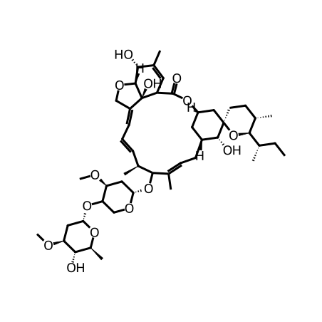 CC[C@H](C)[C@H]1O[C@]2(CC[C@@H]1C)C[C@@H]1C[C@@H](C/C=C(\C)C(O[C@H]3C[C@H](OC)C(O[C@H]4C[C@H](OC)[C@@H](O)[C@H](C)O4)CO3)[C@@H](C)/C=C/C=C3\CO[C@@H]4[C@H](O)C(C)=CC(C(=O)O1)[C@]34O)[C@H]2O